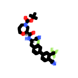 CC(C)(C)OC(=O)N1CCCO[C@H](C(=O)N[C@H](C#N)Cc2ccc(-c3ccc(C#N)c(C(F)(F)F)c3)cc2F)C1